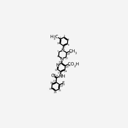 Cc1cccc(N2CCN(c3ncc(NC(=O)c4ccccc4F)cc3C(=O)O)CC2C)c1